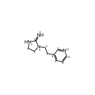 N=C1NCCN1CCc1cccnc1